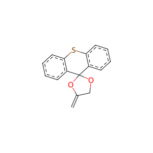 C=C1COC2(O1)c1ccccc1Sc1ccccc12